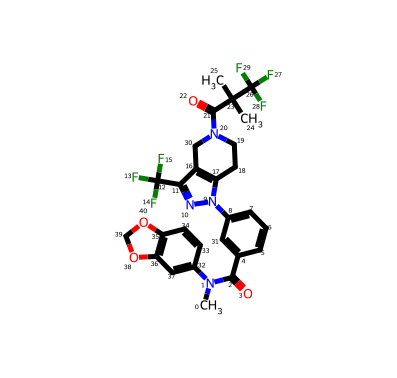 CN(C(=O)c1cccc(-n2nc(C(F)(F)F)c3c2CCN(C(=O)C(C)(C)C(F)(F)F)C3)c1)c1ccc2c(c1)OCO2